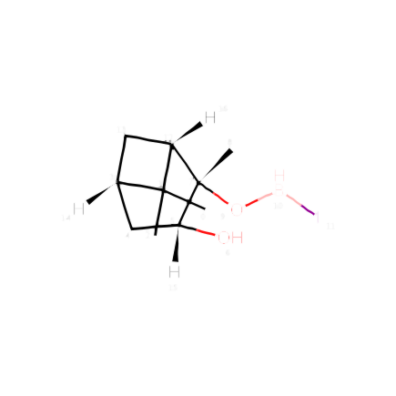 CC1(C)[C@@H]2C[C@@H](O)[C@@](C)(OBI)[C@H]1C2